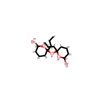 CCCC1(OC2(CCC)CCCC(Br)O2)CCCC(Br)O1